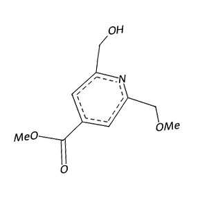 COCc1cc(C(=O)OC)cc(CO)n1